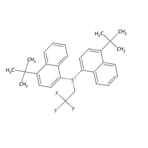 CC(C)(C)c1ccc([S+](CC(F)(F)F)c2ccc(C(C)(C)C)c3ccccc23)c2ccccc12